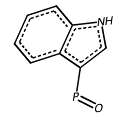 O=Pc1c[nH]c2ccccc12